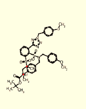 COc1ccc(CN(Cc2ccc(OC)cc2)S(=O)(=O)c2c(-c3nnn(Cc4ccc(OC)cc4)n3)cccc2S(=O)(=O)C(C)CNC(=O)OC(C)(C)C)cc1